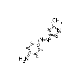 Cc1cc(/N=N/c2ccc(N)cc2)sn1